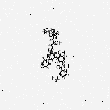 Cc1ccc(NC(=O)c2cc(C(F)(F)F)ccn2)cc1-c1cc(OCC[C@@H](O)COP(=O)(OC(C)(C)C)OC(C)(C)C)nc(N2CCOCC2)c1